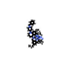 Cc1cc(C)cc(CN(/C(N)=N/N(C)N)[C@H]2CCCN(C3CCN(Cc4ccccc4)CC3)c3cc(C(F)(F)F)c(C)cc32)c1